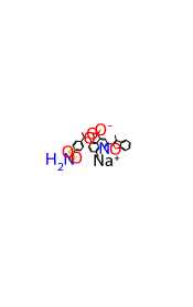 Cc1c(-c2cc(C(=O)[O-])c3c(OC(C)c4ccc(S(N)(=O)=O)cc4)ccc(C)c3n2)oc2ccccc12.[Na+]